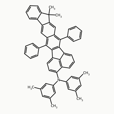 Cc1cc(C)cc(N(c2cc(C)cc(C)c2)c2ccc3c4c(cccc24)-c2c-3c(-c3ccccc3)c3cc4c(cc3c2-c2ccccc2)C(C)(C)c2ccccc2-4)c1